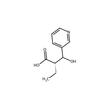 CC[C@H](C(=O)O)C(O)c1cccnc1